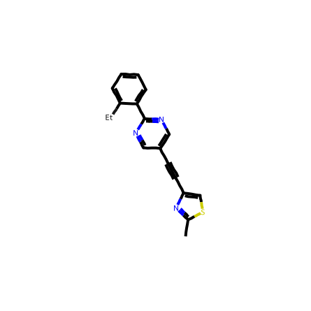 CCc1ccccc1-c1ncc(C#Cc2csc(C)n2)cn1